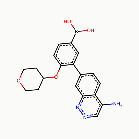 Nc1cnnc2cc(-c3cc(B(O)O)ccc3OC3CCOCC3)ccc12